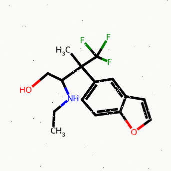 CCNC(CO)C(C)(c1ccc2occc2c1)C(F)(F)F